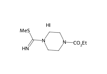 CCOC(=O)N1CCN(C(=N)SC)CC1.I